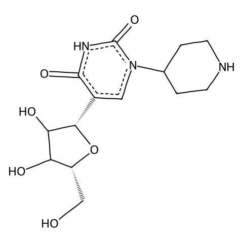 O=c1[nH]c(=O)n(C2CCNCC2)cc1[C@@H]1O[C@H](CO)C(O)C1O